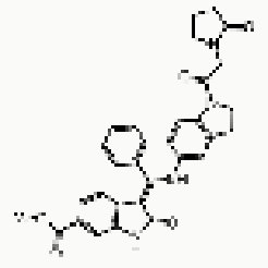 COC(=O)c1ccc2c(c1)NC(=O)/C2=C(\Nc1ccc2c(c1)CCN2C(=O)CN1CCCC1=O)c1ccccc1